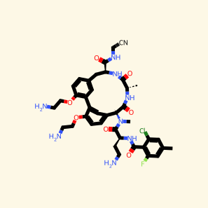 Cc1cc(F)c(C(=O)N[C@@H](CCN)C(=O)N(C)[C@@H]2C(=O)N[C@@H](C)C(=O)N[C@H](C(=O)NCC#N)Cc3ccc(OCCN)c(c3)-c3cc2ccc3OCCN)c(Cl)c1